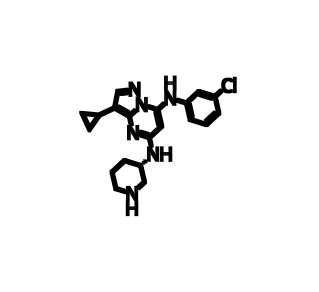 Clc1cccc(Nc2cc(N[C@H]3CCCNC3)nc3c(C4CC4)cnn23)c1